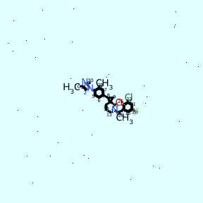 Cc1cn(-c2ccc(C3CC34CCCN(C(C)c3cc(F)cc(Cl)c3)C4=O)cc2C)cn1